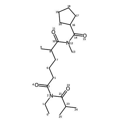 CCN(C(=O)CCCC(C)C(=O)N(C)C(=O)C1CCCC1)C(=O)C(C)C